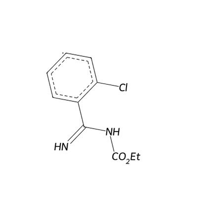 CCOC(=O)NC(=N)c1cc[c]cc1Cl